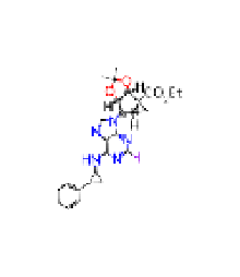 CCOC(=O)C12C[C@@H]1[C@@H](n1cnc3c(NC4CC4c4ccccc4)nc(I)nc31)[C@@H]1OC(C)(C)O[C@@H]12